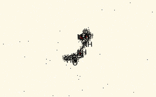 CC(C)(C)[Si](C)(C)O[C@@H](CNCCCCCNC(=O)CCCc1cccc(C2(C(=O)O[C@H]3CN4CCC3CC4)CCCCC2)c1)c1ccc(OCc2ccccc2)c2[nH]c(=O)ccc12